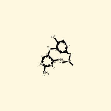 CC(C)c1cnc(SN(C)C)cc1Oc1cnc(N)nc1N